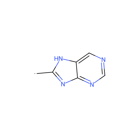 [CH2]c1nc2ncncc2[nH]1